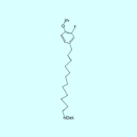 CCCCCCCCCCCCCCCCCCCCCCc1ccc(OC(C)C)c(F)c1